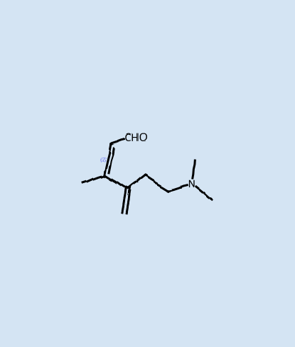 C=C(CCN(C)C)/C(C)=C\C=O